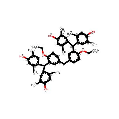 Cc1cc(C(c2cc(C)c(O)cc2C)c2cc(Cc3ccc(OCC(=O)O)c(C(c4cc(C)c(O)cc4C)c4cc(C)c(O)cc4C)c3)ccc2OCC(=O)O)c(C)cc1O